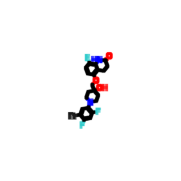 CCc1cc(N2CCC(O)(COc3ccc(F)c4c3CCC(=O)N4)CC2)c(F)cc1F